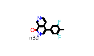 CCCCn1cc(-c2cc(F)c(C)c(F)c2)c2ccncc2c1=O